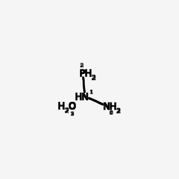 NNP.O